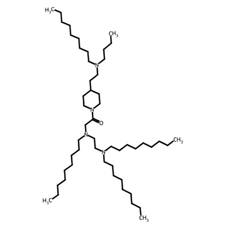 CCCCCCCCCN(CCCC)CCC1CCN(C(=O)CN(CCCCCCCCC)CCN(CCCCCCCCC)CCCCCCCCC)CC1